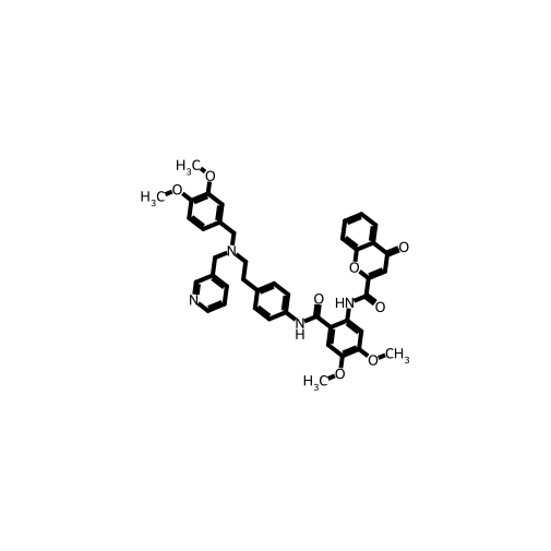 COc1ccc(CN(CCc2ccc(NC(=O)c3cc(OC)c(OC)cc3NC(=O)c3cc(=O)c4ccccc4o3)cc2)Cc2cccnc2)cc1OC